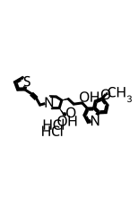 COc1ccc2nccc([C@H](O)CC[C@@H]3CCN(CC#Cc4cccs4)C[C@@H]3C(=O)O)c2c1.Cl.Cl